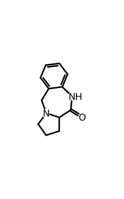 O=C1Nc2ccccc2CN2CCCC12